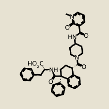 Cn1cccc(C(=O)NC2CCN(C(=O)[C@H]3CC[C@@](C(=O)N[C@H](Cc4ccccc4)C(=O)O)(c4ccccc4)c4ccccc43)CC2)c1=O